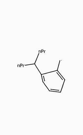 [CH2]c1ccccc1C(CCC)CCC